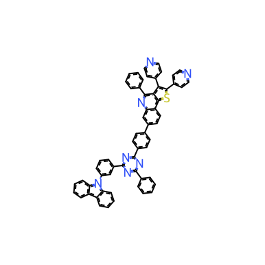 c1ccc(-c2nc(-c3ccc(-c4ccc5c(c4)nc(-c4ccccc4)c4c(-c6ccncc6)c(-c6ccncc6)sc45)cc3)nc(-c3cccc(-n4c5ccccc5c5ccccc54)c3)n2)cc1